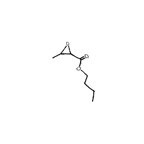 CCCCOC(=O)C1OC1C